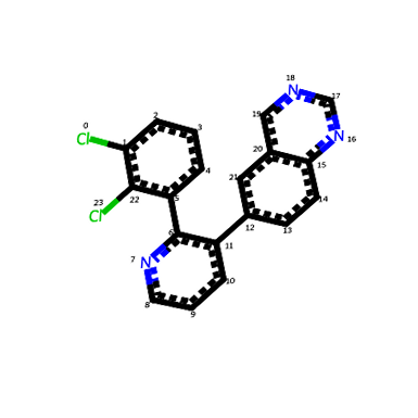 Clc1cccc(-c2ncccc2-c2ccc3ncncc3c2)c1Cl